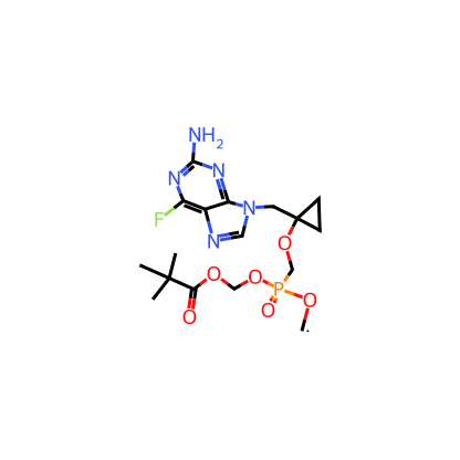 [CH2]OP(=O)(COC1(Cn2cnc3c(F)nc(N)nc32)CC1)OCOC(=O)C(C)(C)C